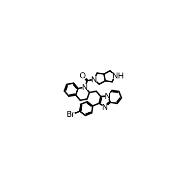 O=C(N1CC2CNCC2C1)N1c2ccccc2CCC1Cc1c(-c2ccc(Br)cc2)nc2ccccn12